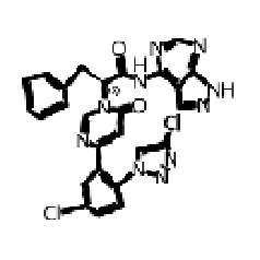 O=C(Nc1ncnc2[nH]ncc12)[C@H](Cc1ccccc1)n1cnc(-c2cc(Cl)ccc2-n2cc(Cl)nn2)cc1=O